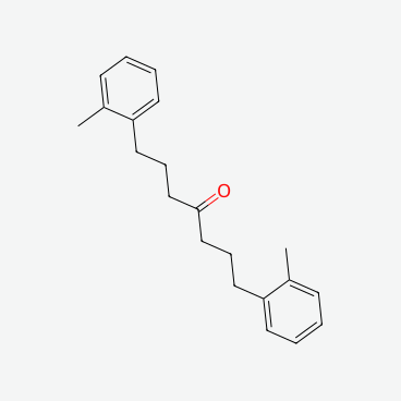 Cc1ccccc1CCCC(=O)CCCc1ccccc1C